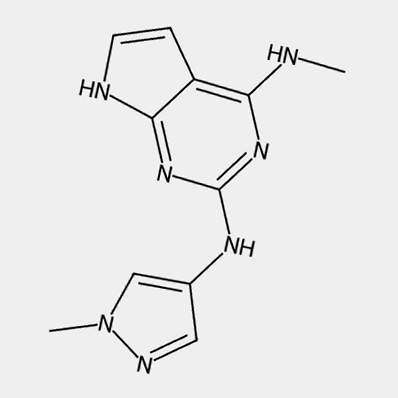 CNc1nc(Nc2cnn(C)c2)nc2[nH]ccc12